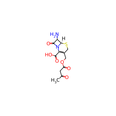 CC(=O)CC(=O)OCC1=C(C(=O)O)N2C(=O)[C@@H](N)[C@H]2SC1